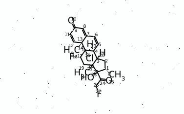 C[C@H]1C[C@H]2[C@@H]3C=CC4=CC(=O)C=C[C@]4(C)[C@@]3(Cl)[C@@H](F)C[C@]2(C)[C@@]1(O)C(=O)CF